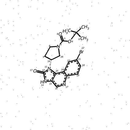 CC(C)(C)OC(=O)N1CC[C@@H](n2c(=O)[nH]c3cnc4ccc(Br)cc4c32)C1